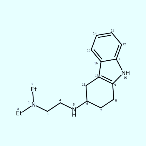 CCN(CC)CCNC1CCc2[nH]c3ccccc3c2C1